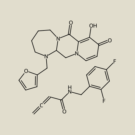 C=C=CC(=O)NCc1ccc(F)cc1F.O=C1c2c(O)c(=O)ccn2CC2N(Cc3ccco3)CCCCN12